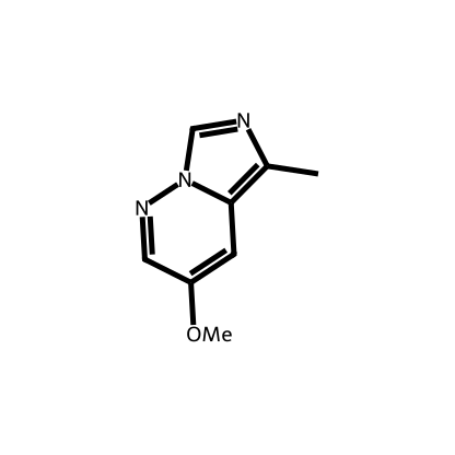 COc1cnn2cnc(C)c2c1